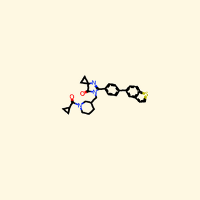 O=C(C1CC1)N1CCCC(CN2C(=O)C3(CC3)N=C2c2ccc(-c3ccc4sccc4c3)cc2)C1